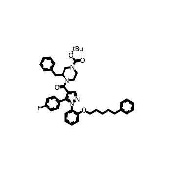 CC(C)(C)OC(=O)N1CCN(C(=O)c2cnn(-c3ccccc3OCCCCCc3ccccc3)c2-c2ccc(F)cc2)C(Cc2ccccc2)C1